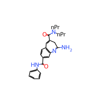 CCCN(CCC)C(=O)C1=Cc2ccc(C(=O)Nc3ccccc3)cc2N=C(N)C1